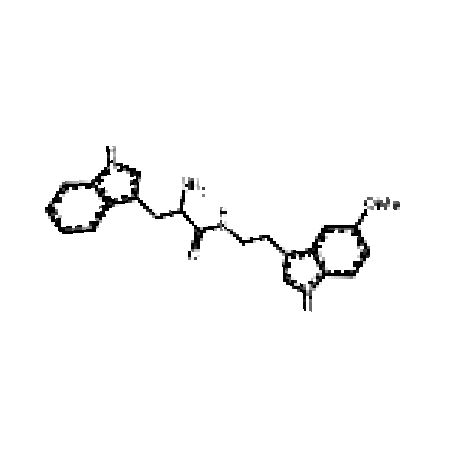 COc1ccc2[nH]cc(CCNC(=O)C(N)Cc3c[nH]c4ccccc34)c2c1